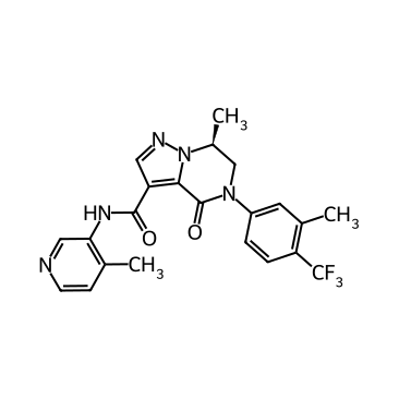 Cc1ccncc1NC(=O)c1cnn2c1C(=O)N(c1ccc(C(F)(F)F)c(C)c1)C[C@@H]2C